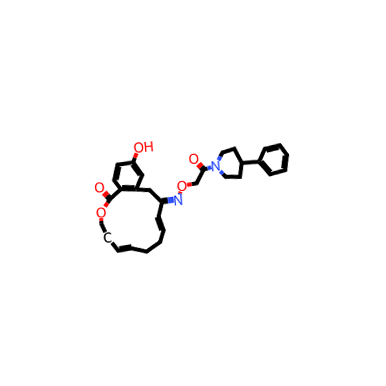 O=C1OCC/C=C/CC/C=C/C(=N/OCC(=O)N2CCC(c3ccccc3)CC2)Cc2cc(O)ccc21